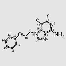 Cc1nc(N)c2ncn(CCOc3ccccc3)c2c1C